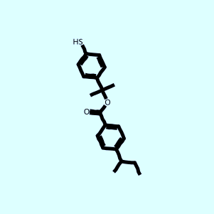 CCC(C)c1ccc(C(=O)OC(C)(C)c2ccc(S)cc2)cc1